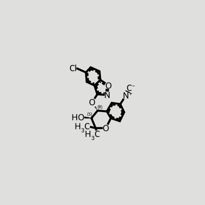 [C-]#[N+]c1ccc2c(c1)[C@@H](Oc1noc3ccc(Cl)cc13)[C@H](O)C(C)(C)O2